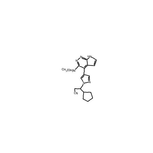 CN(O)c1nnc2[nH]ccc2c1-c1cnn(C(CC#N)C2CCCC2)c1